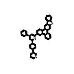 c1ccc(-c2cc(-c3ccc(-c4cccnc4)cc3)nc(-c3ccc4c(c3)c3ccccc3c3cc5sc6ccccc6c5cc43)c2)cc1